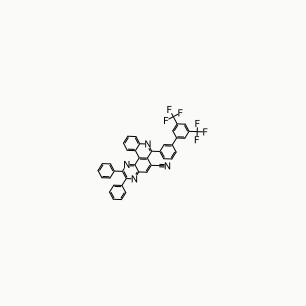 N#Cc1cc2nc(-c3ccccc3)c(-c3ccccc3)nc2c2c1c(-c1cccc(-c3cc(C(F)(F)F)cc(C(F)(F)F)c3)c1)nc1ccccc12